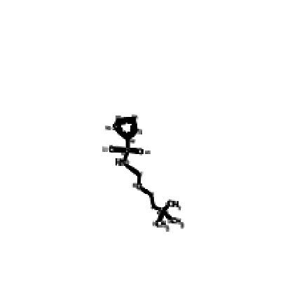 C[Si](C)(C)CCOCNS(=O)(=O)c1cccs1